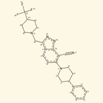 N#Cc1c(N2CCC(c3ccccc3)CC2)ccn2c(CN3CCC(C(F)(F)F)CC3)nnc12